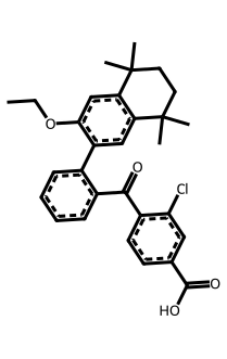 CCOc1cc2c(cc1-c1ccccc1C(=O)c1ccc(C(=O)O)cc1Cl)C(C)(C)CCC2(C)C